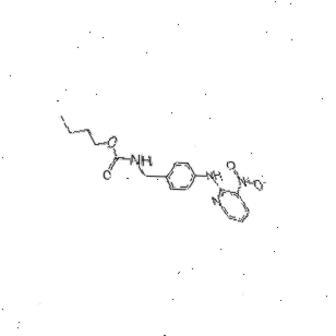 CCCCOC(=O)NCc1ccc(Nc2ncccc2[N+](=O)[O-])cc1